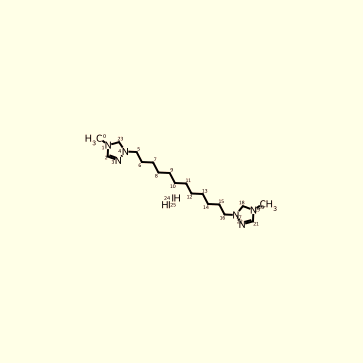 CN1C=NN(CCCCCCCCCCCCN2CN(C)C=N2)C1.I.I